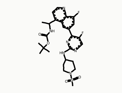 CC(NC(=O)OC(C)(C)C)c1ccnc2c(F)cc(-c3nc(NC4CCN(S(C)(=O)=O)CC4)ncc3F)cc12